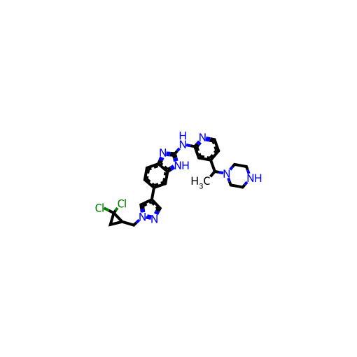 CC(c1ccnc(Nc2nc3ccc(-c4cnn(CC5CC5(Cl)Cl)c4)cc3[nH]2)c1)N1CCNCC1